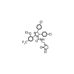 CCOc1cc(C(F)(F)F)ccc1C1=NC(c2ccc(Cl)cc2)C(c2ccc(Cl)cc2)N1C(=O)NCCN1CCNC1=O